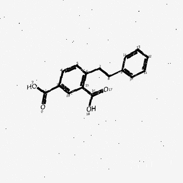 O=C(O)c1ccc(CCc2ccccc2)c(C(=O)O)c1